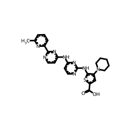 Cc1cccc(-c2nccc(Nc3ccnc(Nc4sc(C(=O)O)cc4N4CCCCC4)n3)n2)n1